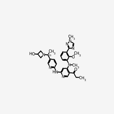 CCC(=O)c1cnc(Nc2ccc([C@H](C)N3CC(O)C3)cn2)cc1N(C)c1cccc(-c2ncn(C)n2)c1OC